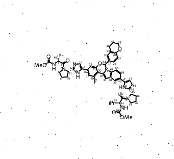 COC(=O)N[C@H](C(=O)N1CCC[C@H]1c1ncc(-c2cc(F)c3c(c2)OC(c2ccc4c(c2)CCCO4)n2c-3cc3cc(-c4cnc([C@@H]5CCCN5C(=O)[C@@H](NC(=O)OC)C(C)C)[nH]4)ccc32)[nH]1)C(C)C